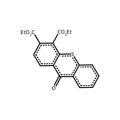 CCOC(=O)c1ccc2c(=O)c3ccccc3sc2c1C(=O)OCC